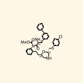 COC(=O)N(C(=O)[C@@H](N)Cc1cccc(-c2ccccc2)c1)c1ccccc1CC[C@@H]1CNC[C@@H](CSc2ccc(Cl)cc2)O1